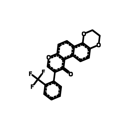 O=c1c(-c2ccccc2C(F)(F)F)coc2ccc3c4c(ccc3c12)OCCO4